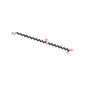 CCCCCCC=CCCCCCCCCCCCC(=O)OCCCCCCCCCCCCCC(=O)O